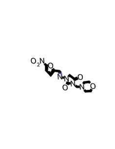 O=C1CN(/N=C/c2ccc([N+](=O)[O-])o2)C(=O)N1CN1CCOCC1